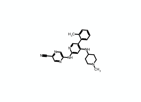 Cc1ccccc1-c1cnc(Nc2cnc(C#N)cn2)cc1NC1CCN(C)CC1